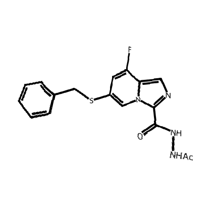 CC(=O)NNC(=O)c1ncc2c(F)cc(SCc3ccccc3)cn12